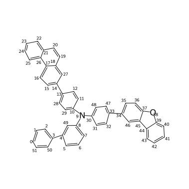 c1ccc(-c2cccc(N(c3ccc(-c4ccc5c(ccc6ccccc65)c4)cc3)c3ccc(-c4ccc5oc6ccccc6c5c4)cc3)c2)cc1